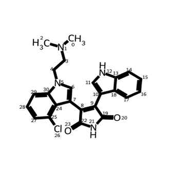 CN(C)CCn1cc(C2=C(c3c[nH]c4ccccc34)C(=O)NC2=O)c2c(Cl)cccc21